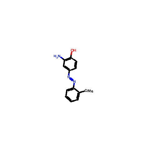 COc1ccccc1N=Nc1ccc(O)c(N)c1